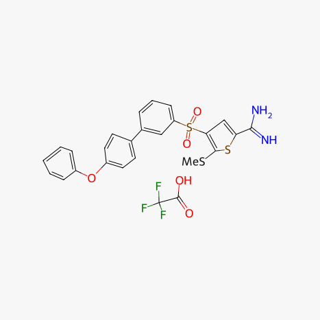 CSc1sc(C(=N)N)cc1S(=O)(=O)c1cccc(-c2ccc(Oc3ccccc3)cc2)c1.O=C(O)C(F)(F)F